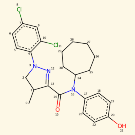 CC1CN(c2ccc(Cl)cc2Cl)N=C1C(=O)N(c1ccc(O)cc1)C1CCCCCC1